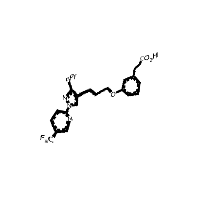 CCCc1nn(-c2ccc(C(F)(F)F)cn2)cc1CCCOc1cccc(CCC(=O)O)c1